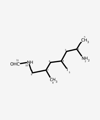 CC(N)CC(I)CC(C)CNC=O